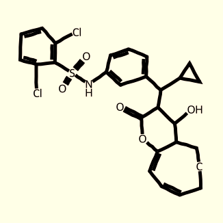 O=C1OC2=CC=CCCCC2C(O)C1C(c1cccc(NS(=O)(=O)c2c(Cl)cccc2Cl)c1)C1CC1